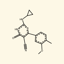 COc1cc(-c2nc(NC3CC3)[nH]c(=O)c2C#N)ccc1C